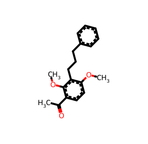 COc1ccc(C(C)=O)c(OC)c1CCCc1ccccc1